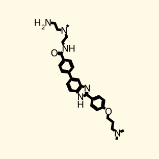 CN(C)CCCOc1ccc(-c2nc3cc(-c4ccc(C(=O)NCCN(C)CCN)cc4)ccc3[nH]2)cc1